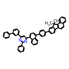 CC1(C)c2cc(-c3ccc(-c4ccc(-c5cc(-c6cccc(-c7ccccc7)c6)nc(-c6ccccc6)n5)c5ccccc45)cc3)ccc2-c2ccc3ccccc3c21